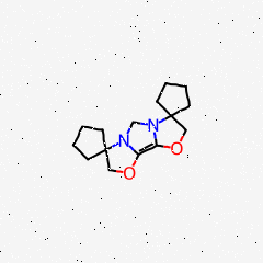 C1CCC2(C1)COC1=C3OCC4(CCCC4)N3CN12